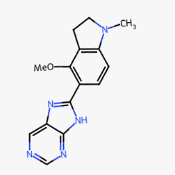 COc1c(-c2nc3cncnc3[nH]2)ccc2c1CCN2C